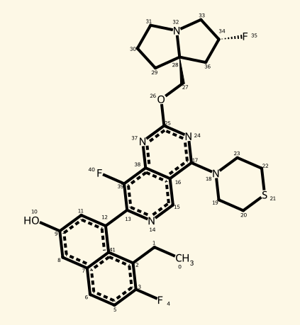 CCc1c(F)ccc2cc(O)cc(-c3ncc4c(N5CCSCC5)nc(OC[C@@]56CCCN5C[C@H](F)C6)nc4c3F)c12